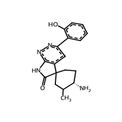 CC1CC2(CC[C@@H]1N)C(=O)Nc1nnc(-c3ccccc3O)cc12